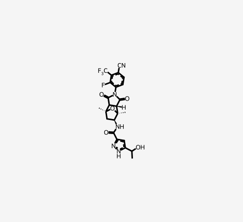 CC(O)c1cc(C(=O)N[C@H]2C[C@]3(C)O[C@@]2(C)[C@H]2C(=O)N(c4ccc(C#N)c(C(F)(F)F)c4F)C(=O)C23)n[nH]1